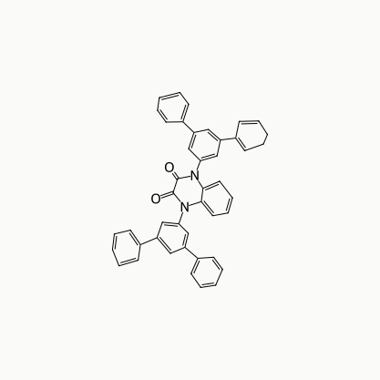 O=c1c(=O)n(-c2cc(-c3ccccc3)cc(-c3ccccc3)c2)c2ccccc2n1-c1cc(C2=CCCC=C2)cc(-c2ccccc2)c1